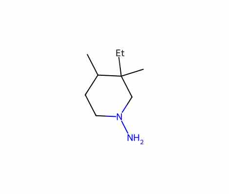 CCC1(C)CN(N)CCC1C